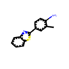 Cc1cc(-c2nc3ccccc3s2)ccc1N